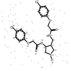 O=C(COc1ccc(Cl)cc1)NCC1CN(Cl)CC1OC(=O)COc1ccc(Cl)cc1